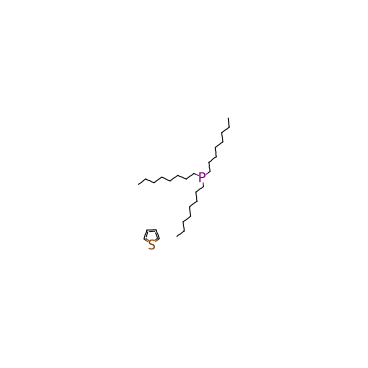 CCCCCCCCP(CCCCCCCC)CCCCCCCC.c1ccsc1